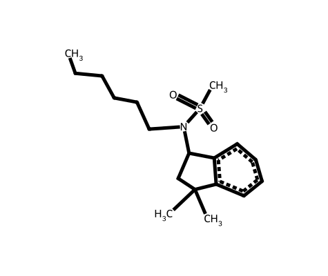 CCCCCCN(C1CC(C)(C)c2ccccc21)S(C)(=O)=O